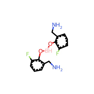 NCc1cccc(F)c1OBOc1c(F)cccc1CN